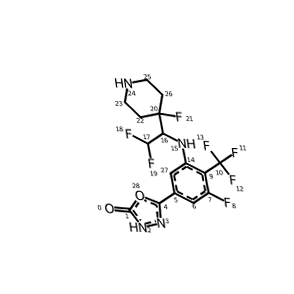 O=c1[nH]nc(-c2cc(F)c(C(F)(F)F)c(NC(C(F)F)C3(F)CCNCC3)c2)o1